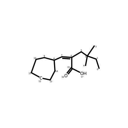 CCC(C)(C)CC(=CC1CCCCCC1)C(=O)O